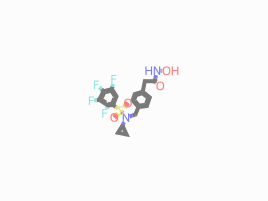 O=C(Cc1ccc(CN(C2CC2)S(=O)(=O)c2cc(F)c(F)c(F)c2F)cc1)NO